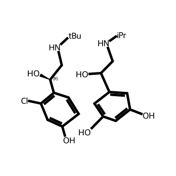 CC(C)(C)NC[C@H](O)c1ccc(O)cc1Cl.CC(C)NCC(O)c1cc(O)cc(O)c1